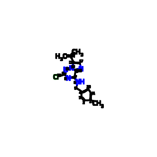 Cc1ccc(CNc2nc(Cl)nn3c(C(C)C)cnc23)cc1